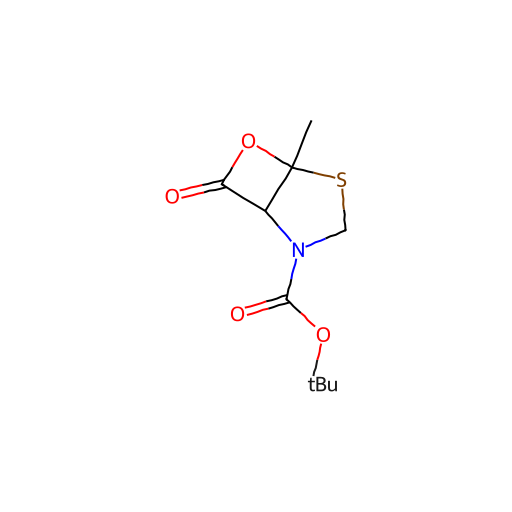 CC(C)(C)OC(=O)N1CSC2(C)OC(=O)C12